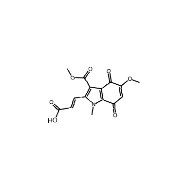 COC(=O)c1c2c(n(C)c1C=CC(=O)O)C(=O)C=C(OC)C2=O